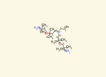 CC(C)CCN(CCC(C)(C)OCC(C)(C)N)CCC(C)(C)OCC(C)(C)N